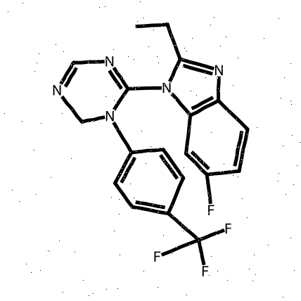 CCc1nc2ccc(F)cc2n1C1=NC=NCN1c1ccc(C(F)(F)F)cc1